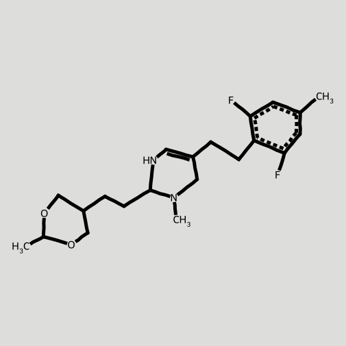 Cc1cc(F)c(CCC2=CNC(CCC3COC(C)OC3)N(C)C2)c(F)c1